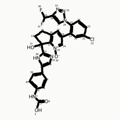 O=C(O)Nc1ccc(-c2cnc(C3(O)CCc4cc(-c5cc(Cl)ccc5-n5cc(C(F)F)nn5)c[n+]([O-])c43)[nH]2)cc1